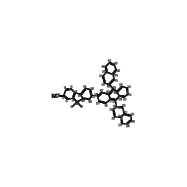 CC1(C)c2cc(C#N)ccc2-c2ccc(-c3ccc4c(-c5ccc6ccccc6c5)c5ccccc5c(-c5ccc6ccccc6c5)c4c3)cc21